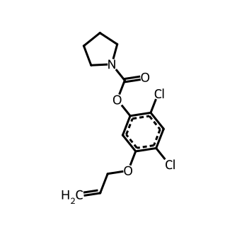 C=CCOc1cc(OC(=O)N2CCCC2)c(Cl)cc1Cl